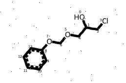 OC(CCl)COCOc1ccccc1